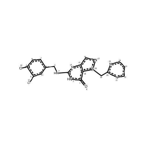 O=c1[nH]c(NCc2ccc(Cl)c(Cl)c2)nc2cnn(Cc3ncccn3)c12